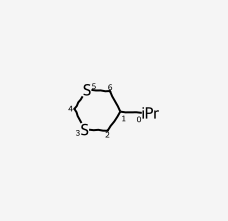 CC(C)C1CSCSC1